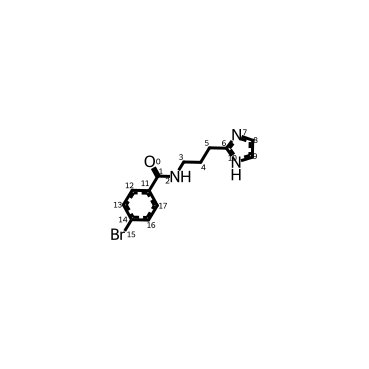 O=C(NCCCc1ncc[nH]1)c1ccc(Br)cc1